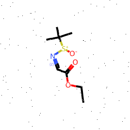 CCOC(=O)/C=N\[S+]([O-])C(C)(C)C